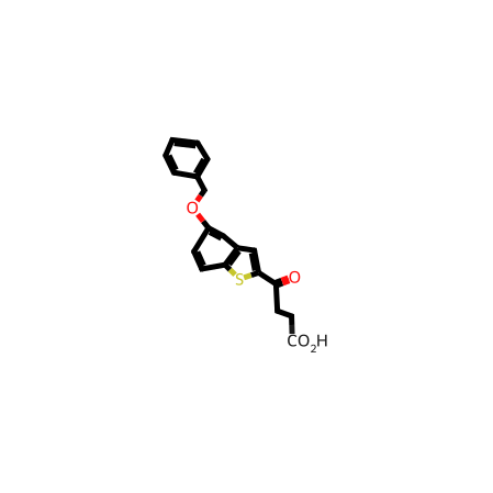 O=C(O)CCC(=O)c1cc2cc(OCc3ccccc3)ccc2s1